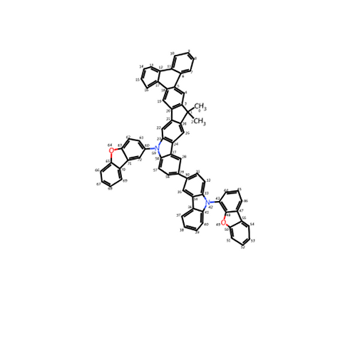 CC1(C)c2cc3c4ccccc4c4ccccc4c3cc2-c2cc3c(cc21)c1cc(-c2ccc4c(c2)c2ccccc2n4-c2cccc4c2oc2ccccc24)ccc1n3-c1ccc2oc3ccccc3c2c1